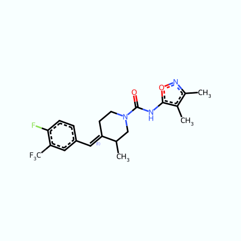 Cc1noc(NC(=O)N2CC/C(=C\c3ccc(F)c(C(F)(F)F)c3)C(C)C2)c1C